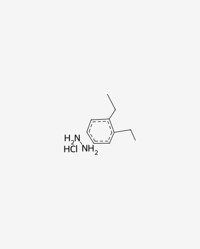 CCc1ccccc1CC.Cl.NN